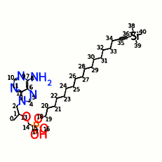 CC(Cn1cnc2c(N)ncnc21)OCP(=O)(O)OCCCCCCCCCCCCCCCCC#C[Si](C)(C)C